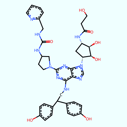 O=C(CCO)N[C@H]1C[C@@H](n2cnc3c(NCC(c4ccc(O)cc4)c4ccc(O)cc4)nc(N4CCC(NC(=O)NCc5ccccn5)C4)nc32)[C@H](O)[C@@H]1O